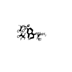 C[C@H](NS(=O)(=O)c1ccc2c(NC(N)=NCl)cncc2c1)C(=O)OC(=O)C(F)(F)F